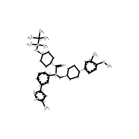 COc1ccc([C@H]2CC[C@H](CN(c3cccc(-c4cc(C)no4)c3)C(=O)[C@H]3CC[C@H](O[Si](C)(C)C(C)(C)C)CC3)CC2)cc1C